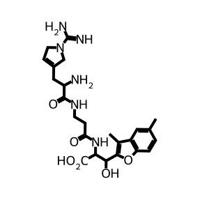 Cc1ccc2oc(C(O)C(NC(=O)CCNC(=O)C(N)CC3=CCN(C(=N)N)C3)C(=O)O)c(C)c2c1